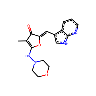 CC1=C(NN2CCOCC2)O/C(=C\c2c[nH]c3ncccc23)C1=O